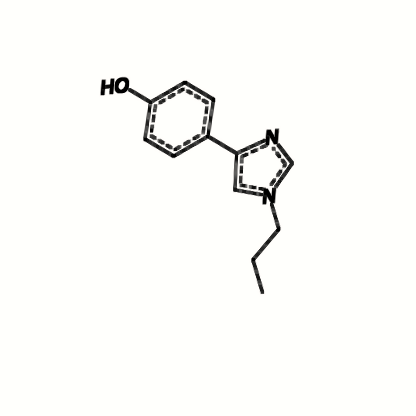 CCCn1cnc(-c2ccc(O)cc2)c1